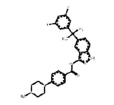 CN1CCN(c2ccc(C(=O)Nc3n[nH]c4ccc(C(C)(C)c5cc(F)cc(F)c5)cc34)cc2)CC1